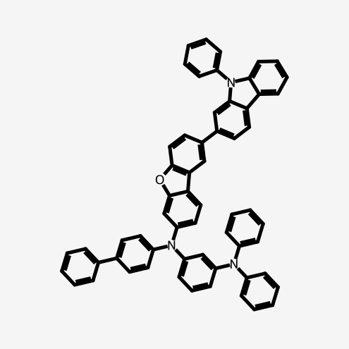 c1ccc(-c2ccc(N(c3cccc(N(c4ccccc4)c4ccccc4)c3)c3ccc4c(c3)oc3ccc(-c5ccc6c7ccccc7n(-c7ccccc7)c6c5)cc34)cc2)cc1